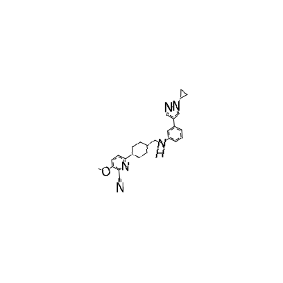 COc1ccc(C2CCC(CNc3cccc(-c4cnn(C5CC5)c4)c3)CC2)nc1C#N